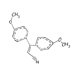 COc1ccc(C(=CC#N)c2ccc(OC)cc2)cc1